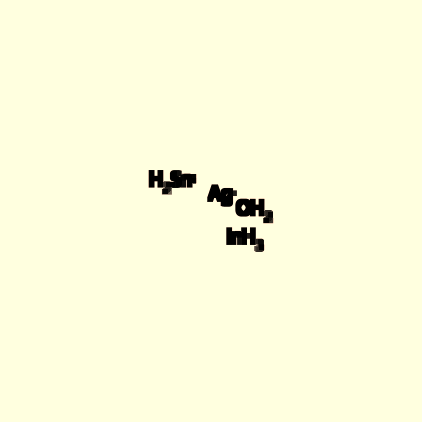 O.[Ag].[InH3].[SnH2]